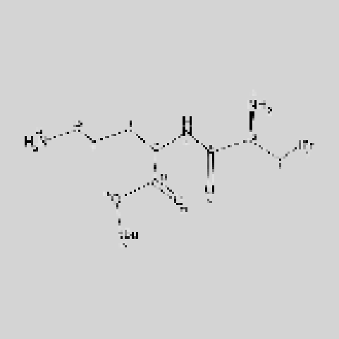 CC(C)C[C@H](N)C(=O)NC(CCCN)C(=O)OC(C)(C)C